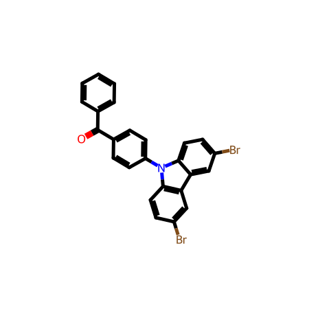 O=C(c1ccccc1)c1ccc(-n2c3ccc(Br)cc3c3cc(Br)ccc32)cc1